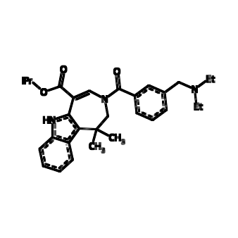 CCN(CC)Cc1cccc(C(=O)N2C=C(C(=O)OC(C)C)c3[nH]c4ccccc4c3C(C)(C)C2)c1